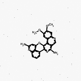 COc1cc2ncc3c(N)nc(-c4cccnc4)c(Oc4ccnc(N)c4)c3c2cc1OC